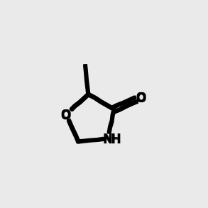 CC1OCNC1=O